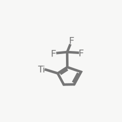 FC(F)(F)C1=[C]([Ti])CC=C1